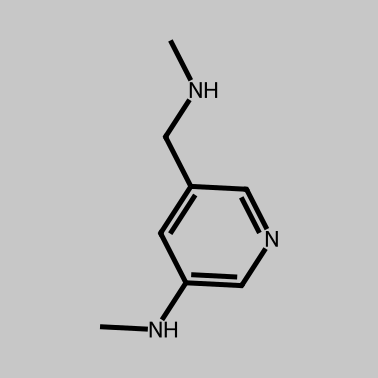 CNCc1cncc(NC)c1